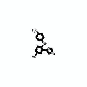 CC(=O)c1ccc(Nc2ccc(C(F)(F)F)cc2)c(-c2cn(C)cn2)c1